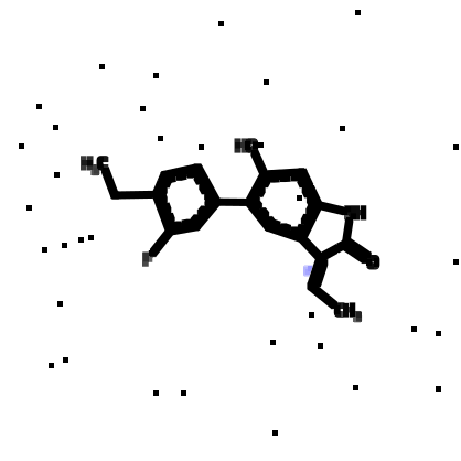 C/C=C1\C(=O)Nc2cc(O)c(-c3ccc(CC)c(F)c3)cc21